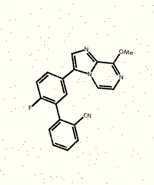 COc1nccn2c(-c3ccc(F)c(-c4ccccc4C#N)c3)cnc12